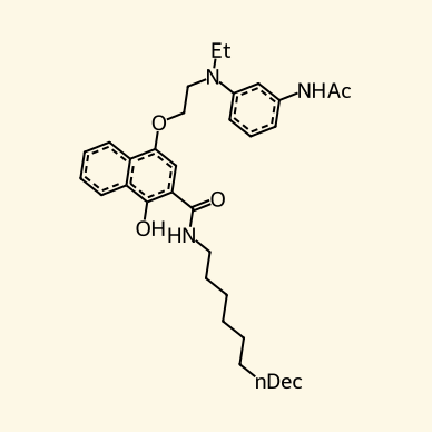 CCCCCCCCCCCCCCCCNC(=O)c1cc(OCCN(CC)c2cccc(NC(C)=O)c2)c2ccccc2c1O